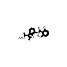 CC(=O)OC(C)c1c(C)oc2c(NC(=O)c3c(Cl)cccc3Cl)cccc12